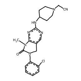 CN1C(=O)N(c2ccccc2Cl)Cc2cnc(NC3CCN(CC#N)CC3)nc21